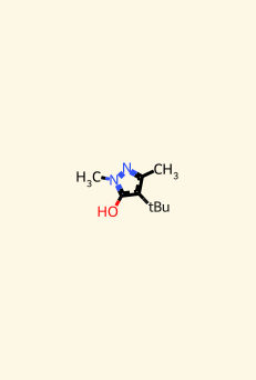 Cc1nn(C)c(O)c1C(C)(C)C